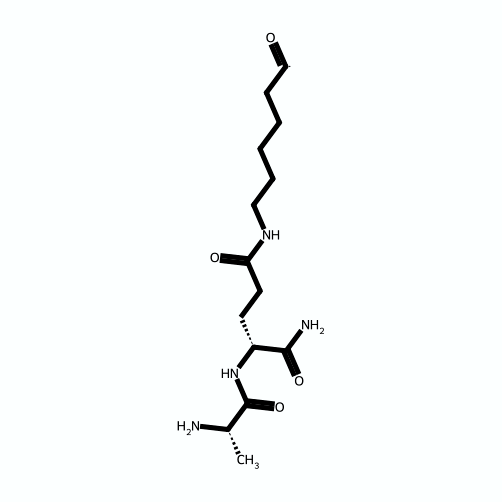 C[C@H](N)C(=O)N[C@H](CCC(=O)NCCCCC[C]=O)C(N)=O